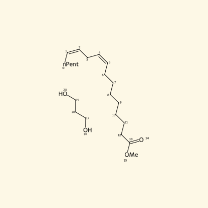 CCCCC/C=C\C/C=C\CCCCCCCC(=O)OC.OCCCO